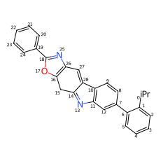 CC(C)c1ccccc1-c1ccc2c(c1)N=C1Cc3oc(-c4ccccc4)nc3C=C12